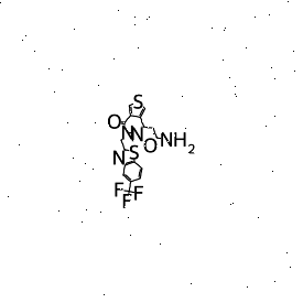 NC(=O)Cc1nn(Cc2nc3cc(C(F)(F)F)ccc3s2)c(=O)c2cscc12